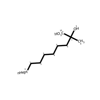 CCCCCCCCCCCCCC(C)(O)C(=O)O